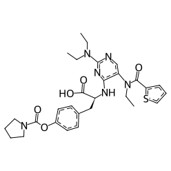 CCN(CC)c1ncc(N(CC)C(=O)c2cccs2)c(N[C@@H](Cc2ccc(OC(=O)N3CCCC3)cc2)C(=O)O)n1